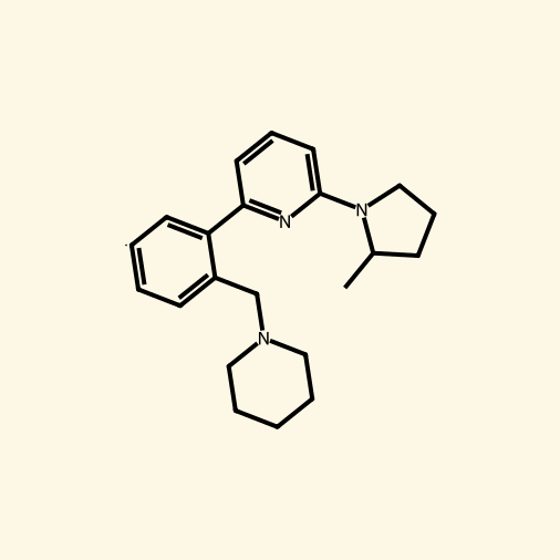 CC1CCCN1c1cccc(-c2c[c]ccc2CN2CCCCC2)n1